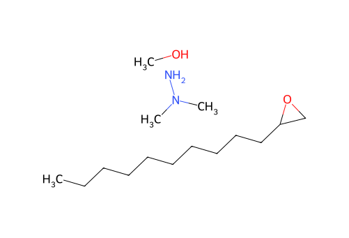 CCCCCCCCCCC1CO1.CN(C)N.CO